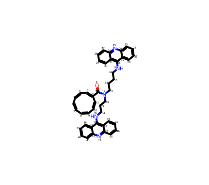 O=C(c1ccccccccc1)N(CCCCNc1c2ccccc2nc2ccccc12)CCCNc1c2ccccc2nc2ccccc12